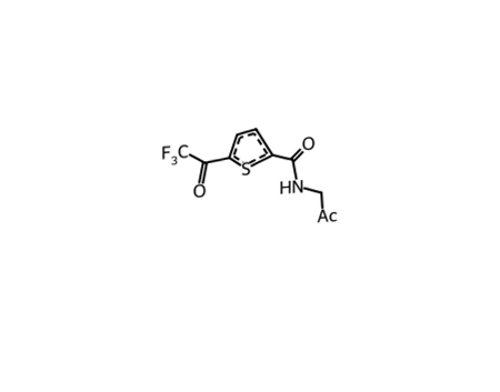 CC(=O)CNC(=O)c1ccc(C(=O)C(F)(F)F)s1